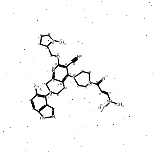 Cc1ccc2[nH]ncc2c1N1CCc2c(nc(OCC3CCCN3C)c(C#N)c2N2CCN(C(=O)C=CN(C)C)CC2)C1